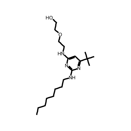 CCCCCCCCNc1nc(NCCOCCO)cc(C(C)(C)C)n1